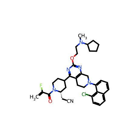 C=C(F)C(=O)N1CCC(c2nc(OCCN(C)C3CCCC3)nc3c2CCN(c2cccc4cccc(Cl)c24)C3)C[C@@H]1CC#N